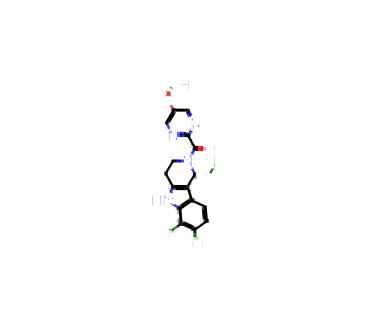 COc1cnc(C(=O)N2CCc3[nH]c4c(Cl)c(Cl)ccc4c3[C@H]2CF)nc1